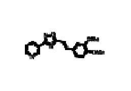 COc1ccc(C=Cc2nc(-c3cccnc3)no2)cc1OC